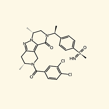 C[C@@H]1Cc2nn3c(c2CN1C(=O)c1ccc(Cl)c(Cl)c1)C(=O)N([C@@H](C)c1ccc([S@@](C)(=N)=O)cc1)C[C@H]3C